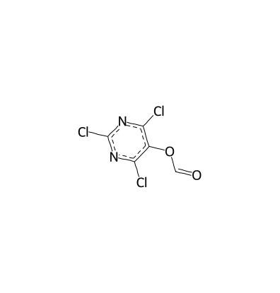 O=COc1c(Cl)nc(Cl)nc1Cl